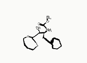 CC(C)(C)OC(=O)N[C@@H](CC1CCCCC1)[C@H](O)C1SCCCS1